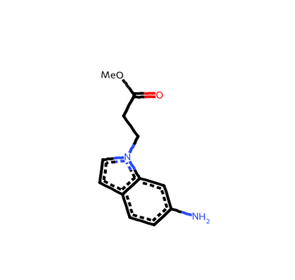 COC(=O)CCn1ccc2ccc(N)cc21